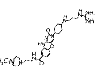 CN1CCN(CCCNC(=O)c2ccc3c(c2)Nc2nc(=O)n(C4CCC(NCCCNC(=N)N)CC4)cc2O3)CC1